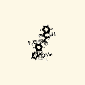 COC(=O)[C@]1(C)CCCN1c1ccc(NC(=O)c2c[nH]c3ccccc3c2=O)c(C(F)(F)F)c1